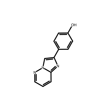 Oc1ccc(-c2cn3ncccc3n2)cc1